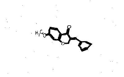 COc1ccc2c(c1)OCC(=Cc1ccccc1)C2=O